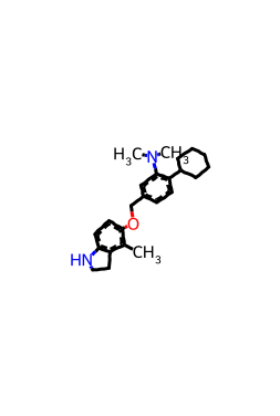 Cc1c(OCc2ccc(C3CCCCC3)c(N(C)C)c2)ccc2c1CCN2